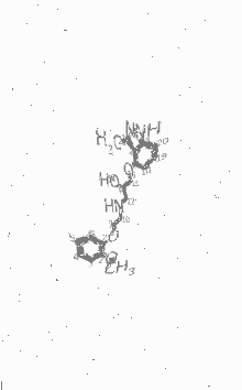 COc1ccccc1OCCNC[C@H](O)COc1cccc2[nH]nc(C)c12